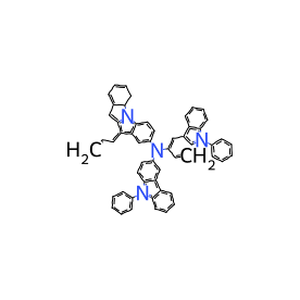 C=C/C=c1\c2n(c3ccc(N(/C(C=C)=C/c4cn(-c5ccccc5)c5ccccc45)c4ccc5c(c4)c4ccccc4n5-c4ccccc4)cc13)C1CC=CC=C1C=2